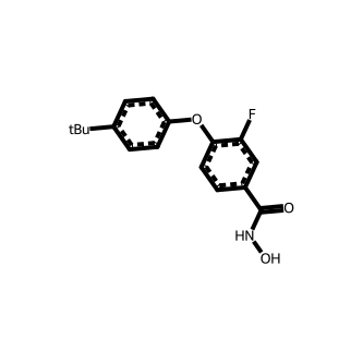 CC(C)(C)c1ccc(Oc2ccc(C(=O)NO)cc2F)cc1